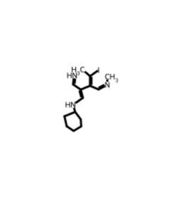 C\N=C/C(C(/C=N)=C/NC1CCCCC1)=C(/C)I